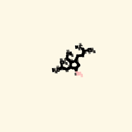 BC1CC(CCC(C)C)C(CC)C1CC(C)C